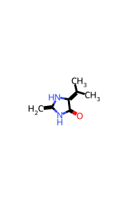 C=c1[nH]c(=O)c(=C(C)C)[nH]1